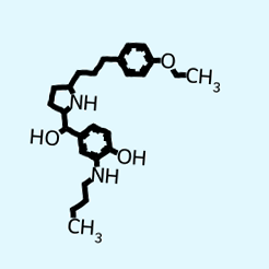 CCCCNc1cc(C(O)C2CCC(CCCc3ccc(OCC)cc3)N2)ccc1O